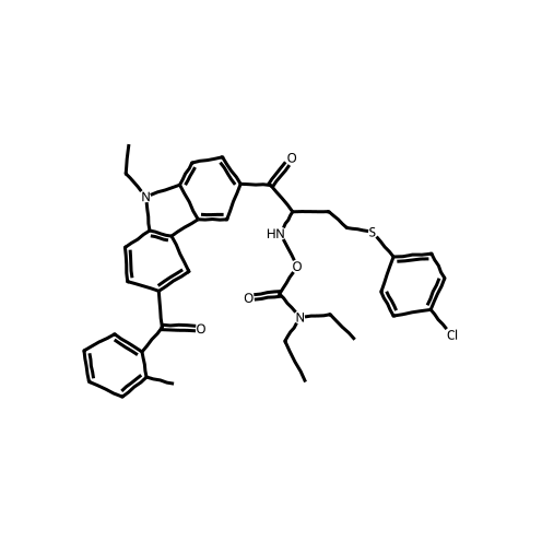 CCN(CC)C(=O)ONC(CCSc1ccc(Cl)cc1)C(=O)c1ccc2c(c1)c1cc(C(=O)c3ccccc3C)ccc1n2CC